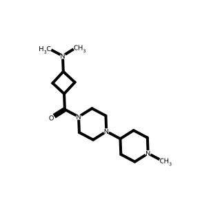 CN1CCC(N2CCN(C(=O)C3CC(N(C)C)C3)CC2)CC1